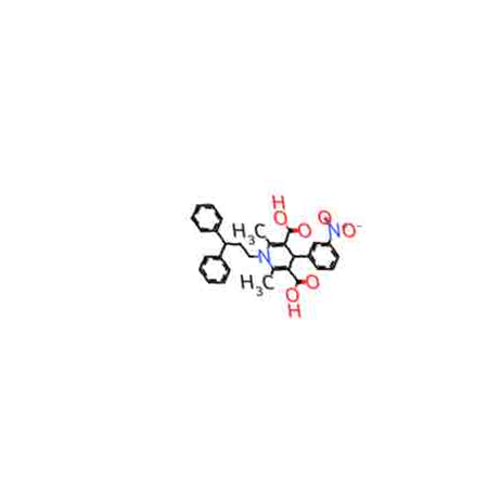 CC1=C(C(=O)O)C(c2cccc([N+](=O)[O-])c2)C(C(=O)O)=C(C)N1CCC(c1ccccc1)c1ccccc1